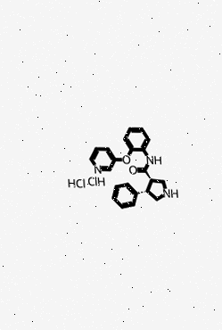 Cl.Cl.O=C(Nc1ccccc1Oc1cccnc1)[C@H]1CNC[C@@H]1c1ccccc1